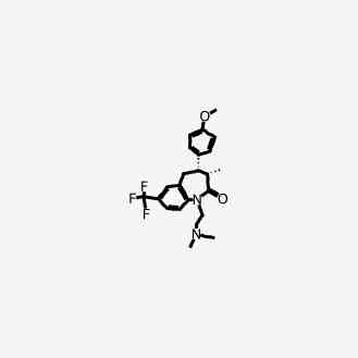 COc1ccc([C@H]2Cc3cc(C(F)(F)F)ccc3N(CCN(C)C)C(=O)[C@H]2C)cc1